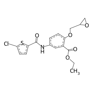 CCOC(=O)c1cc(NC(=O)c2ccc(Cl)s2)ccc1OCC1CO1